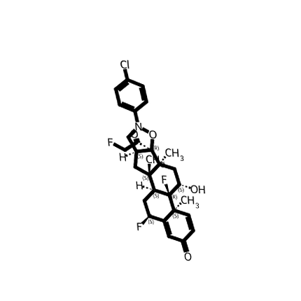 C[C@]12C[C@H](O)[C@@]3(F)[C@@H](C[C@H](F)C4=CC(=O)C=C[C@@]43C)[C@]1(C)C[C@H]1CN(c3ccc(Cl)cc3)O[C@]12C(=O)CF